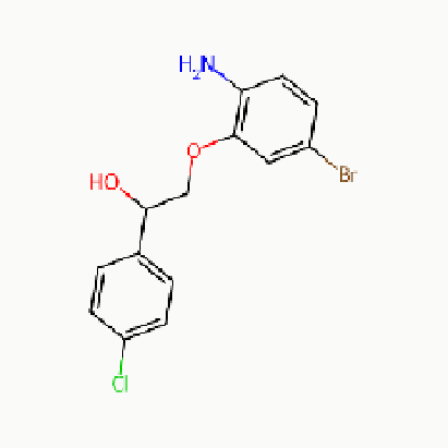 Nc1ccc(Br)cc1OCC(O)c1ccc(Cl)cc1